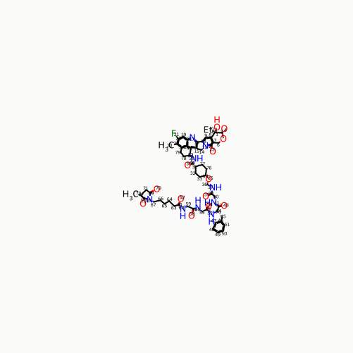 CC[C@@]1(O)C(=O)OCc2c1cc1n(c2=O)Cc2c-1nc1cc(F)c(C)c3c1c2[C@@H](NC(=O)[C@H]1CC[C@H](OCNC(=O)CNC(=O)[C@H](Cc2ccccc2)NC(=O)CNC(=O)CNC(=O)CCCCCN2C(=O)CC(C)C2=O)CC1)CC3